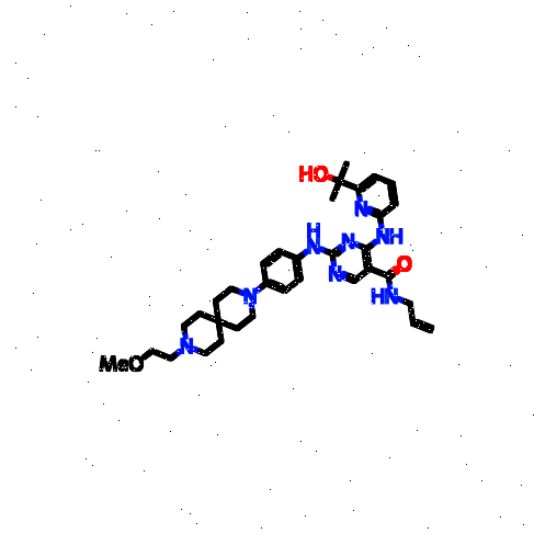 C=CCNC(=O)c1cnc(Nc2ccc(N3CCC4(CCN(CCOC)CC4)CC3)cc2)nc1Nc1cccc(C(C)(C)O)n1